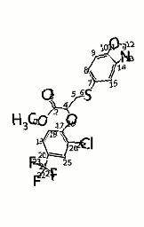 COC(=O)C(CSc1ccc2ocnc2c1)Oc1ccc(C(F)(F)F)cc1Cl